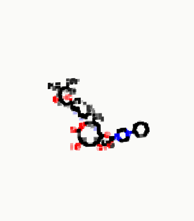 CC[C@@H](OC(C)=O)[C@@H](C)[C@H]1O[C@@H]1C[C@](C)(O)/C=C/C=C(\C)[C@H]1OC(=O)C[C@@H](O)CC[C@](C)(O)[C@@H](OC(=O)N2CCN(C3CCCCCC3)CC2)/C=C/[C@@H]1C